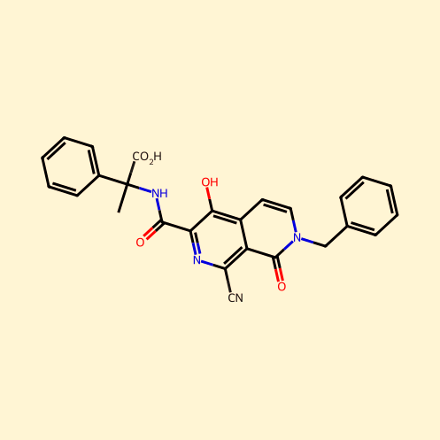 CC(NC(=O)c1nc(C#N)c2c(=O)n(Cc3ccccc3)ccc2c1O)(C(=O)O)c1ccccc1